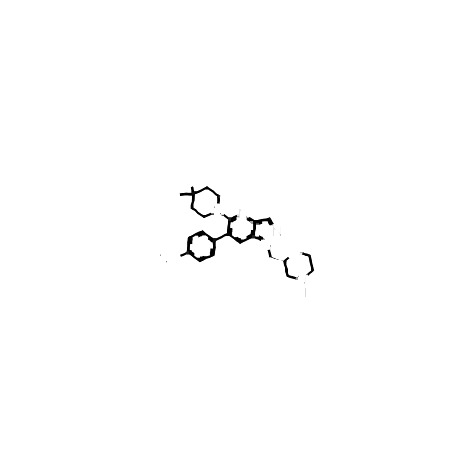 CC1(F)CCN(c2nc3cnn(C[C@@H]4CNCCO4)c3cc2-c2ccc(C#N)cc2)CC1